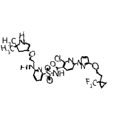 CC1(C)CC(OCCNc2cccc(S(=O)(=O)NC(=O)c3ccc(-n4ccc(OCCC5(C(F)(F)F)CC5)n4)nc3Cl)n2)CN1